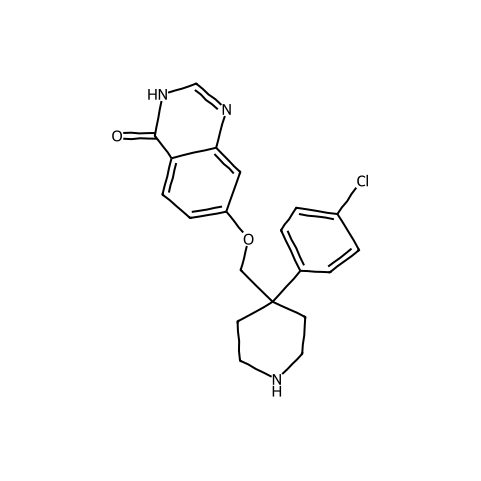 O=c1[nH]cnc2cc(OCC3(c4ccc(Cl)cc4)CCNCC3)ccc12